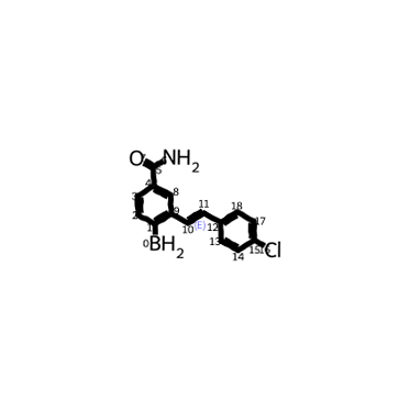 Bc1ccc(C(N)=O)cc1/C=C/c1ccc(Cl)cc1